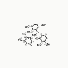 CC(C)(C)c1cccc(OP(Oc2cccc(C(C)(C)C)c2C(C)(C)C)Oc2cccc(C(C)(C)C)c2C(C)(C)C)c1C(C)(C)C.[Au+]